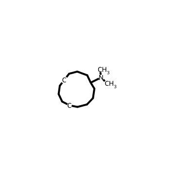 CN(C)C1CCCCCCCCCCCC1